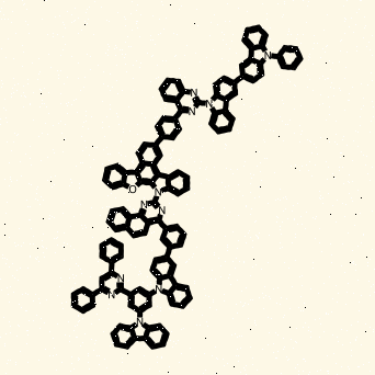 c1ccc(-c2cc(-c3ccccc3)nc(-c3cc(-n4c5ccccc5c5ccccc54)cc(-n4c5ccccc5c5cc(-c6cccc(-c7nc(-n8c9ccccc9c9c%10cc(-c%11ccc(-c%12nc(-n%13c%14ccccc%14c%14cc(-c%15ccc%16c(c%15)c%15ccccc%15n%16-c%15ccccc%15)ccc%14%13)nc%13ccccc%12%13)cc%11)ccc%10c%10c%11ccccc%11oc%10c98)nc8c7ccc7ccccc78)c6)ccc54)c3)n2)cc1